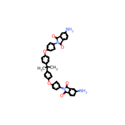 CC(C)(c1ccc(Oc2ccc(N3C(=O)c4ccc(N)cc4C3=O)cc2)cc1)c1ccc(Oc2ccc(N3C(=O)c4ccc(N)cc4C3=O)cc2)cc1